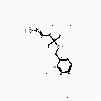 CC(C)(CC=NO)OCc1ccccc1